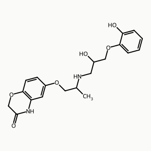 CC(COc1ccc2c(c1)NC(=O)CO2)NCC(O)COc1ccccc1O